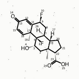 C[C@]12C[C@H](O)[C@@]3(F)[C@@H](C[C@H](F)C4=CC(=O)C=C[C@@]43C)[C@@H]1CC[C@@H]2C(=O)O